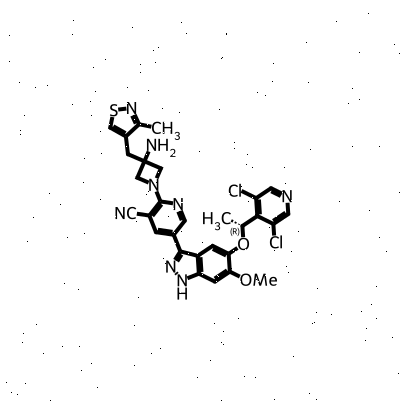 COc1cc2[nH]nc(-c3cnc(N4CC(N)(Cc5csnc5C)C4)c(C#N)c3)c2cc1O[C@H](C)c1c(Cl)cncc1Cl